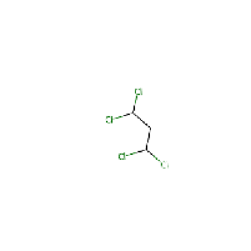 ClC(Cl)CC(Cl)Cl